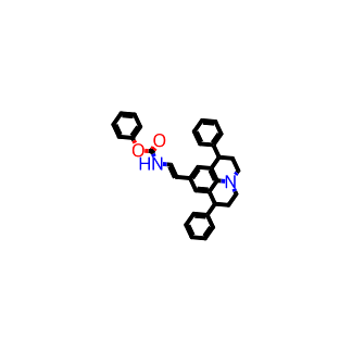 O=C(N/C=C/c1cc2c3c(c1)C(c1ccccc1)CCN3CCC2c1ccccc1)Oc1ccccc1